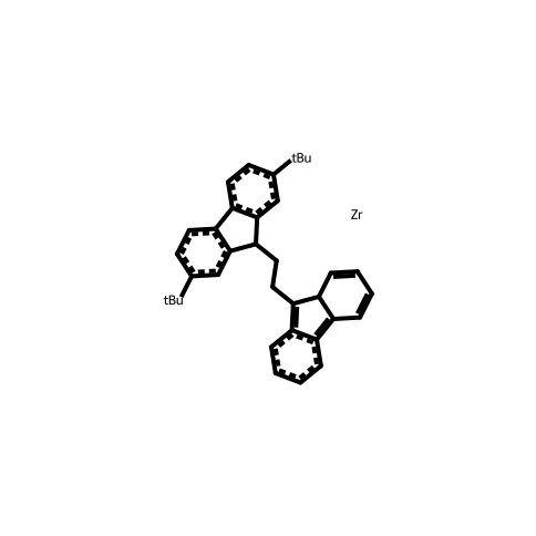 CC(C)(C)c1ccc2c(c1)C(CCC1=c3ccccc3=C3C=CC=CC31)c1cc(C(C)(C)C)ccc1-2.[Zr]